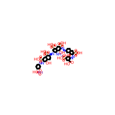 Nc1c(N=Nc2ccc3c(O)c(N=Nc4cccc(O[PH](=O)O)c4)c(S(=O)(=O)O)cc3c2S(=O)(=O)O)cc(S(=O)(=O)O)c2cc(S(=O)(=O)O)c(N=Nc3ccc4cc(S(=O)(=O)O)c(/N=N\c5ccc(S(=O)(=O)O)cc5C(=O)O)c(O)c4c3)c(O)c12